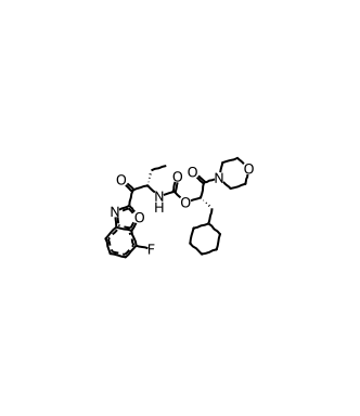 CC[C@H](NC(=O)O[C@@H](CC1CCCCC1)C(=O)N1CCOCC1)C(=O)c1nc2cccc(F)c2o1